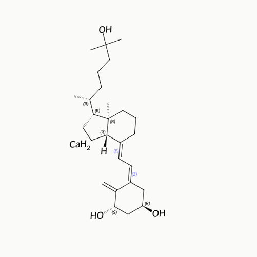 C=C1/C(=C\C=C2/CCC[C@]3(C)[C@@H]([C@H](C)CCCC(C)(C)O)CC[C@@H]23)C[C@@H](O)C[C@@H]1O.[CaH2]